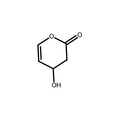 O=C1CC(O)C=CO1